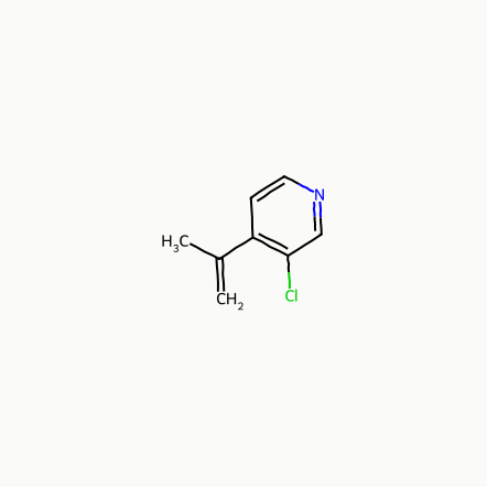 C=C(C)c1ccncc1Cl